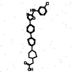 O=C(O)CC1CCC(c2ccc(-c3ccc(-c4cnc(Nc5cccc(Cl)c5)o4)cc3)cc2)CC1